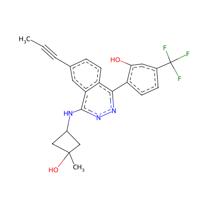 CC#Cc1ccc2c(-c3ccc(C(F)(F)F)cc3O)nnc(NC3CC(C)(O)C3)c2c1